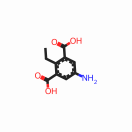 CCc1c(C(=O)O)cc(N)cc1C(=O)O